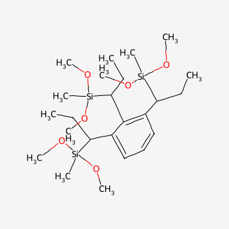 CCC(c1cccc(C(CC)[Si](C)(OC)OC)c1C(CC)[Si](C)(OC)OC)[Si](C)(OC)OC